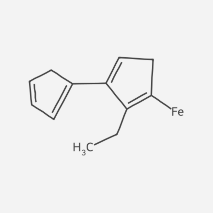 CCC1=[C]([Fe])CC=C1C1=CC=CC1